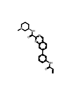 C=CC(=O)Nc1cccc(-c2ccc3cnc(C(=O)N[C@@H]4CCCN(C)C4)nc3c2)c1